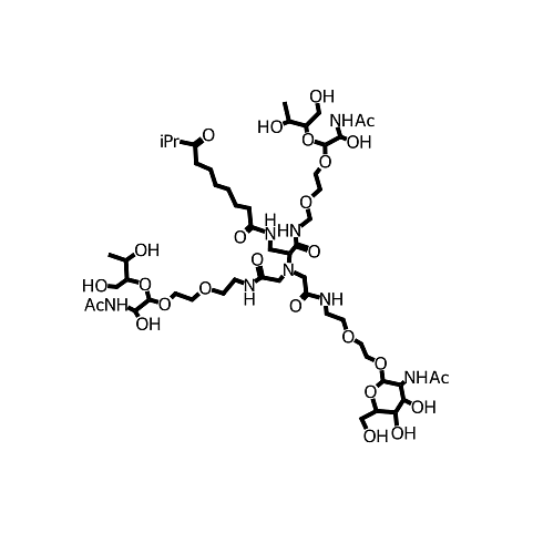 CC(=O)NC(O)C(OCCOCCNC(=O)CN(CC(=O)NCCOCCOC1OC(CO)C(O)C(O)C1NC(C)=O)C(CNC(=O)CCCCCCC(=O)C(C)C)C(=O)NCOCCOC(OC(CO)C(C)O)C(O)NC(C)=O)OC(CO)C(C)O